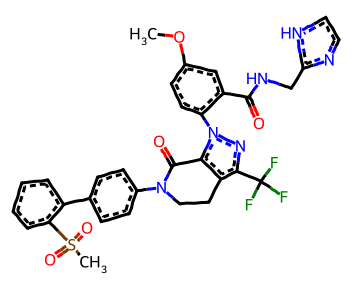 COc1ccc(-n2nc(C(F)(F)F)c3c2C(=O)N(c2ccc(-c4ccccc4S(C)(=O)=O)cc2)CC3)c(C(=O)NCc2ncc[nH]2)c1